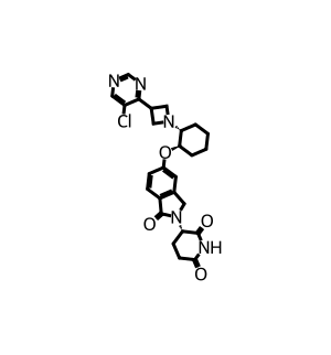 O=C1CC[C@H](N2Cc3cc(O[C@@H]4CCCC[C@H]4N4CC(c5ncncc5Cl)C4)ccc3C2=O)C(=O)N1